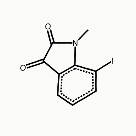 CN1C(=O)C(=O)c2cccc(I)c21